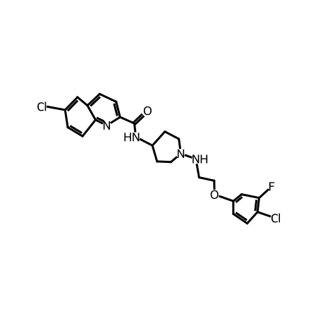 O=C(NC1CCN(NCCOc2ccc(Cl)c(F)c2)CC1)c1ccc2cc(Cl)ccc2n1